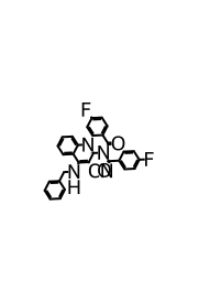 N#Cc1c(N(C(=O)c2ccc(F)cc2)C(=O)c2ccc(F)cc2)nc2ccccc2c1NCc1ccccc1